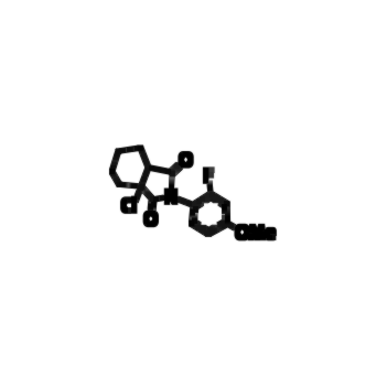 COc1ccc(N2C(=O)C3CCCCC3(Cl)C2=O)c(F)c1